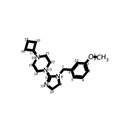 COc1cccc(CN2CCN=C2N2CCN(C3CCC3)CC2)c1